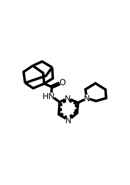 O=C(Nc1cncc(N2CCCCC2)n1)C12CC3CC(CC(C3)C1)C2